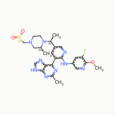 COc1ncc(Nc2ncc([C@H](C)N3CCN(C[SH](=O)=O)C[C@@H]3C)cc2-c2nc(C)nc3[nH]cnc23)cc1F